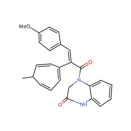 COc1ccc(/C=C(/C(=O)N2CC(=O)Nc3ccccc32)C2=CC=CC(C)C=C2)cc1